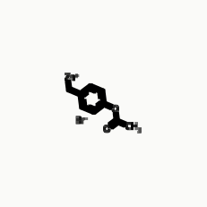 CC(=O)Oc1ccc([CH2][Zn+])cc1.[Br-]